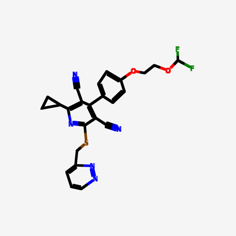 N#Cc1c(SCc2cccnn2)nc(C2CC2)c(C#N)c1-c1ccc(OCCOC(F)F)cc1